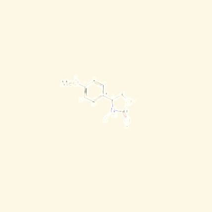 COc1ccc(C2COC(=O)N2C)cc1